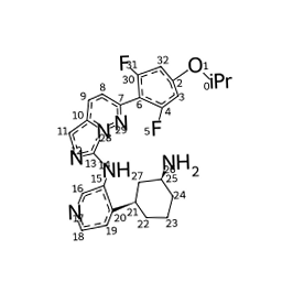 CC(C)Oc1cc(F)c(-c2ccc3cnc(Nc4cnccc4[C@@H]4CCC[C@H](N)C4)n3n2)c(F)c1